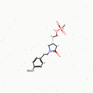 COc1ccc(CCN2C[C@H](CCOS(C)(=O)=O)CC2=O)cc1